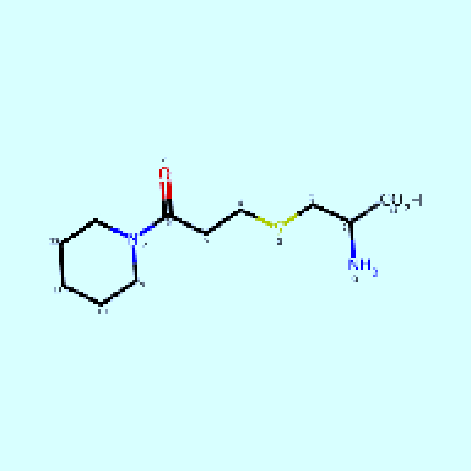 NC(CSCCC(=O)N1CCCCC1)C(=O)O